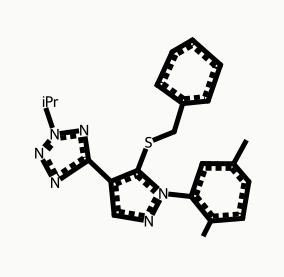 Cc1ccc(C)c(-n2ncc(-c3nnn(C(C)C)n3)c2SCc2ccccc2)c1